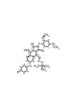 COc1ccc(CN2C(=O)c3c(c(O)c4ncc(Cc5ccc(F)cc5)cc4c3OCC[Si](C)(C)C)C2=O)c(OC)c1